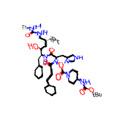 CCNC(=O)NC[C@@H](C[C@H](O)[C@H](CC1CCCCC1)NC(=O)C(Cc1c[nH]cn1)N(OC(=O)N1CCC(NC(=O)OC(C)(C)C)CC1)C(=O)CCC1CCCCC1)C(C)C